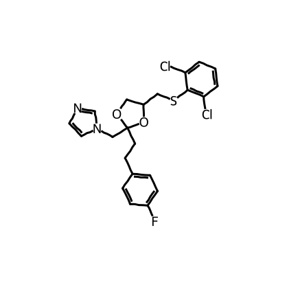 Fc1ccc(CCC2(Cn3ccnc3)OCC(CSc3c(Cl)cccc3Cl)O2)cc1